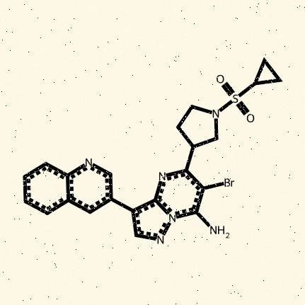 Nc1c(Br)c(C2CCN(S(=O)(=O)C3CC3)C2)nc2c(-c3cnc4ccccc4c3)cnn12